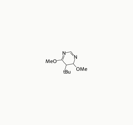 COC1=NC=NC(OC)C1C(C)(C)C